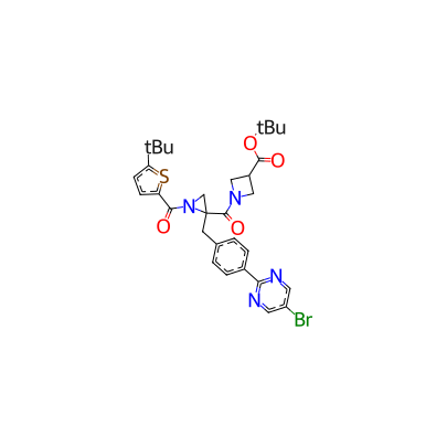 CC(C)(C)OC(=O)C1CN(C(=O)C2(Cc3ccc(-c4ncc(Br)cn4)cc3)CN2C(=O)c2ccc(C(C)(C)C)s2)C1